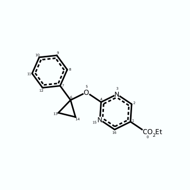 CCOC(=O)c1cnc(OC2(c3ccccc3)CC2)nc1